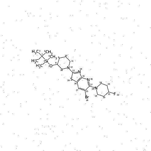 CC(C)(C)[Si](C)(C)OC1CCCN(c2nc3nc(N4CCC(F)CC4)c(Br)cc3s2)C1